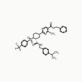 Cc1nc(N2CCN(S(=O)(=O)c3ccc(C(F)(F)F)cc3)[C@@H](C(=O)NCc3ccc(C(C)C)cc3)C2)ncc1C(=O)OCc1ccccc1